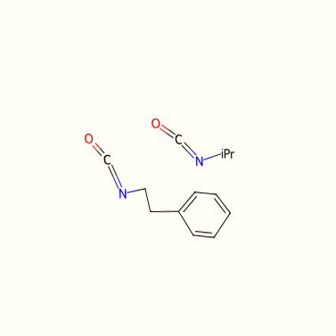 CC(C)N=C=O.O=C=NCCc1ccccc1